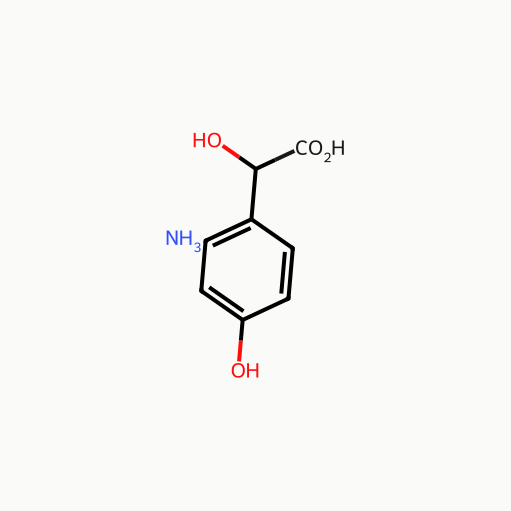 N.O=C(O)C(O)c1ccc(O)cc1